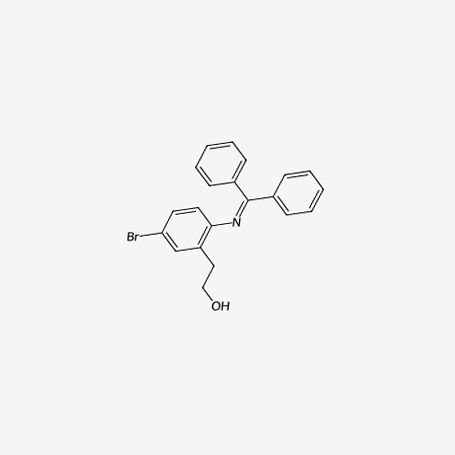 OCCc1cc(Br)ccc1N=C(c1ccccc1)c1ccccc1